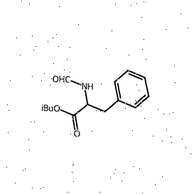 CC(C)COC(=O)C(Cc1ccccc1)N[C]=O